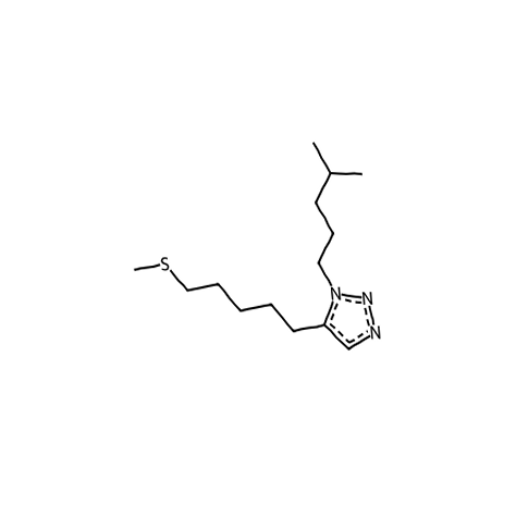 CSCCCCCc1cnnn1CCCC(C)C